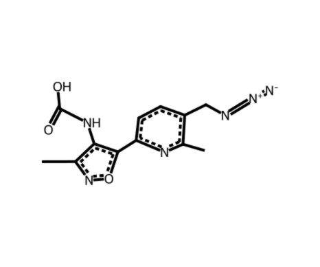 Cc1nc(-c2onc(C)c2NC(=O)O)ccc1CN=[N+]=[N-]